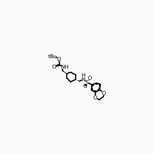 CC(C)(C)OC(=O)NC[C@H]1CC[C@H](CNS(=O)(=O)c2ccc3c(c2)OCCO3)CC1